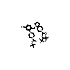 CC(C)(C)OC(=O)N1CCN(c2cc(Cl)ccc2CN2CCCC23CCN(C(=O)OC(C(F)(F)F)C(F)(F)F)CC3)CC1